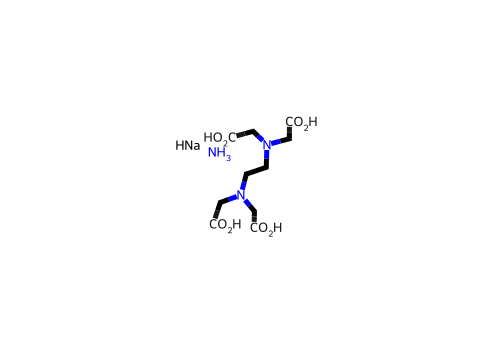 N.O=C(O)CN(CCN(CC(=O)O)CC(=O)O)CC(=O)O.[NaH]